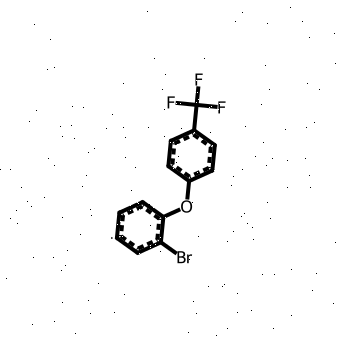 FC(F)(F)c1ccc(Oc2cc[c]cc2Br)cc1